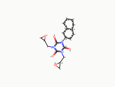 O=c1n(CC2CO2)c(=O)n(-c2ccc3ccccc3c2)c(=O)n1CC1CO1